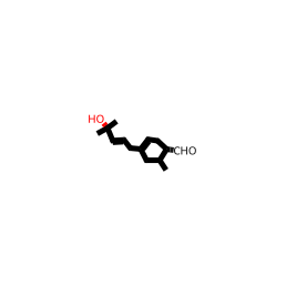 CC1CC(CC=CC(C)(C)O)=CCC1C=O